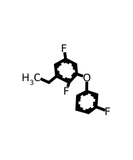 CCc1cc(F)cc(Oc2cccc(F)c2)c1F